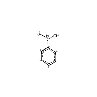 Cl[PH2](Cl)c1ccccc1